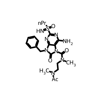 CCCS(=N)(=O)c1nc(N)c2c(n1)n(Cc1ccccc1)c(=O)n2C(=O)N(C)CCN(C)C(C)=O